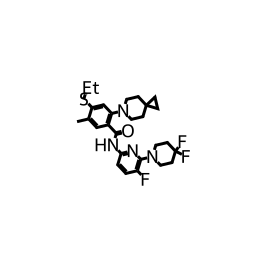 CCSc1cc(N2CCC3(CC2)CC3)c(C(=O)Nc2ccc(F)c(N3CCC(F)(F)CC3)n2)cc1C